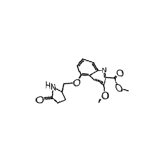 COC(=O)c1nc2cccc(OCC3CCC(=O)N3)c2cc1OC